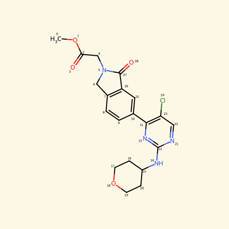 COC(=O)CN1Cc2ccc(-c3nc(NC4CCOCC4)ncc3Cl)cc2C1=O